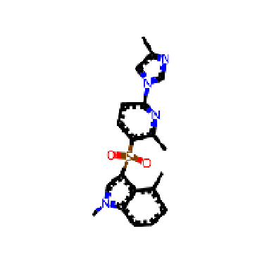 Cc1cn(-c2ccc(S(=O)(=O)c3cn(C)c4cccc(C)c34)c(C)n2)cn1